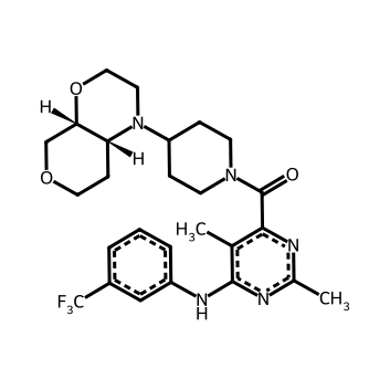 Cc1nc(Nc2cccc(C(F)(F)F)c2)c(C)c(C(=O)N2CCC(N3CCO[C@H]4COCC[C@H]43)CC2)n1